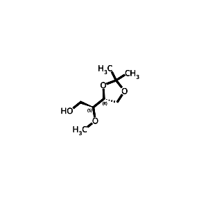 CO[C@@H](CO)[C@H]1COC(C)(C)O1